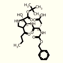 CCCC(=O)C1CN[C@@](O)(C(=O)OC(C)(C)C)[C@H]1NC(=O)[C@H](CC(=O)O)NC(=O)OCc1ccccc1